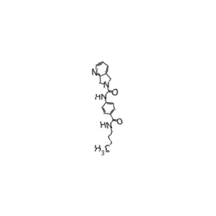 CCCCNC(=O)c1ccc(NC(=O)N2Cc3cccnc3C2)cc1